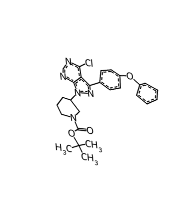 CC(C)(C)OC(=O)N1CCCC(n2nc(-c3ccc(Oc4ccccc4)cc3)c3c(Cl)ncnc32)C1